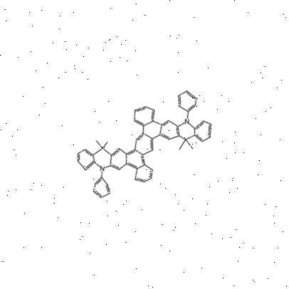 CC1(C)c2ccccc2N(c2ccccc2)c2cc3c4ccccc4c4cc5c6cc7c(cc6c6ccccc6c5cc4c3cc21)N(c1ccccc1)c1ccccc1C7(C)C